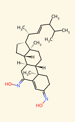 CC(C)C(C)C=C[C@@H](C)[C@H]1CC[C@H]2[C@@H]3CC(=NO)C4=CC(=NO)CC[C@]4(C)[C@H]3CC[C@]12C